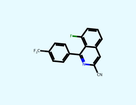 N#Cc1cc2cccc(F)c2c(-c2ccc(C(F)(F)F)cc2)n1